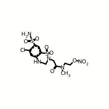 CN(CCO[N+](=O)[O-])C(=O)CN1CNc2cc(Cl)c(S(N)(=O)=O)cc2S1(=O)=O